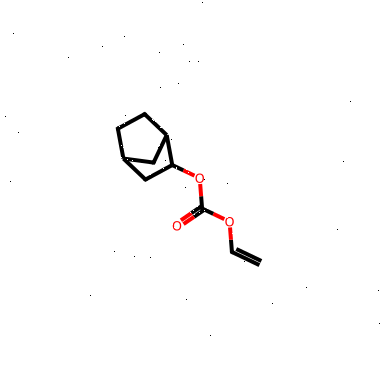 C=COC(=O)OC1CC2CCC1C2